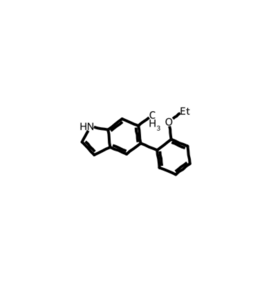 CCOc1ccccc1-c1cc2cc[nH]c2cc1C